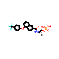 C[C@H](COP(=O)(O)O)NC(=O)c1ccc2c(Oc3ccc(C(F)(F)F)cc3)cccc2c1